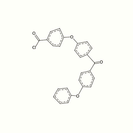 O=C(Cl)c1ccc(Oc2ccc(C(=O)c3ccc(Oc4ccccc4)cc3)cc2)cc1